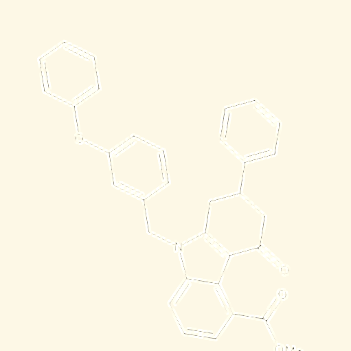 COC(=O)c1cccc2c1c1c(n2Cc2cccc(Oc3ccccc3)c2)CC(c2ccccc2)CC1=O